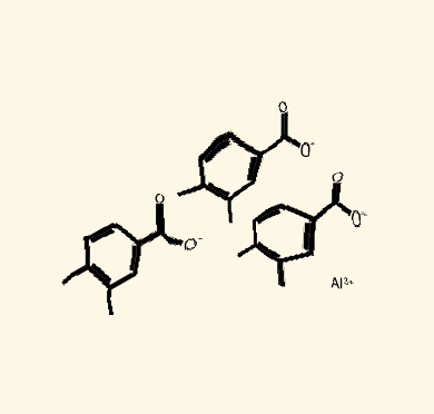 Cc1ccc(C(=O)[O-])cc1C.Cc1ccc(C(=O)[O-])cc1C.Cc1ccc(C(=O)[O-])cc1C.[Al+3]